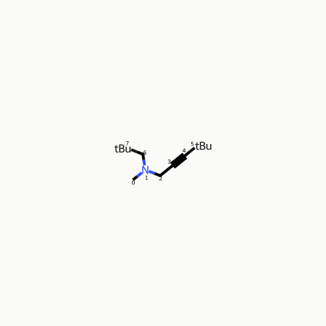 CN(CC#CC(C)(C)C)CC(C)(C)C